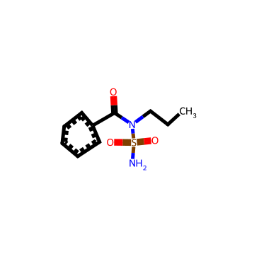 CCCN(C(=O)c1ccccc1)S(N)(=O)=O